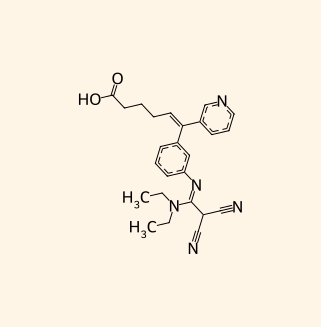 CCN(CC)C(=Nc1cccc(/C(=C\CCCC(=O)O)c2cccnc2)c1)C(C#N)C#N